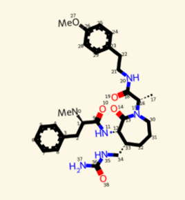 CN[C@H](Cc1ccccc1)C(=O)N[C@@H]1C(=O)N([C@@H](C)C(=O)NCCc2ccc(OC)cc2)CCC[C@@H]1CNC(N)=O